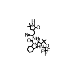 CC1(C)CC(CC(C#N)NC(=O)C2C3CCCCC3CN2C(=O)C(NC(=O)C(F)(F)F)C(C)(C)C)C(=O)N1